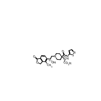 Cc1c([C@@H](O)CN2CCC(NC(=O)O)(C(=O)Nc3ccns3)CC2)ccc2c1COC2=O